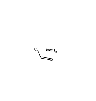 O=CCl.[MgH2]